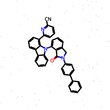 N#Cc1cccc(-c2cccc3c4ccccc4n(-c4cccc5c4C(=O)N(c4ccc(-c6ccccc6)cc4)C5)c23)n1